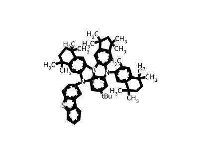 Cc1cc2c(cc1N1c3cc4c(cc3B3c5cc6c(cc5N(c5ccc7sc8ccccc8c7c5)c5cc(C(C)(C)C)cc1c53)C(C)(C)CCC6(C)C)C(C)(C)CC4(C)C)C(C)(C)CCC2(C)C